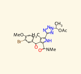 CNC(=O)c1[nH]c(-c2nnn(C(C)OC(C)=O)n2)c(C)c1C(=O)c1ccc(OC)c(Br)c1